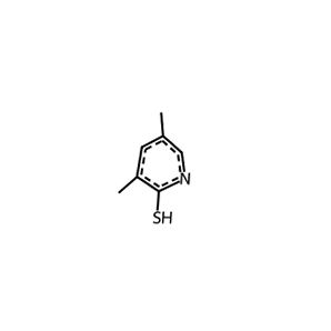 Cc1cnc(S)c(C)c1